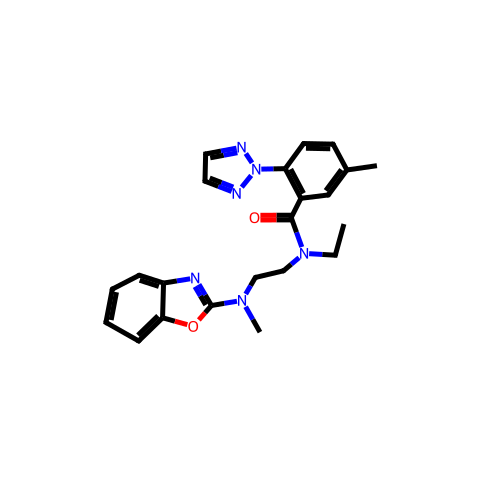 CCN(CCN(C)c1nc2ccccc2o1)C(=O)c1cc(C)ccc1-n1nccn1